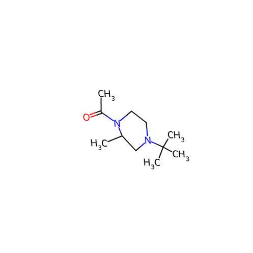 CC(=O)N1CCN(C(C)(C)C)CC1C